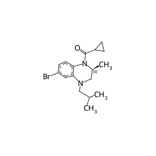 C[C](C)CN1C[C@H](C)N(C(=O)C2CC2)c2ccc(Br)cc21